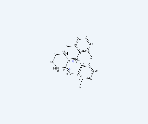 Cc1cccc(C)c1/N=C1\NCCN\C1=N\c1c(C)cccc1C